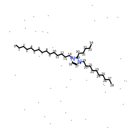 CCCCCCCCCCCCCCCN1C=CN(CCCCCCCCCC)C1CCCCC